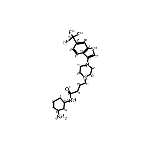 NC1CCCC(NC(=O)CCCN2CCN(c3csc4cc(C(F)(F)F)ccc34)CC2)C1